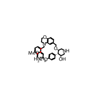 C=C(/C=c1/cccc/c1=C/N)Oc1ccc([C@H]2[C@H](O)CNC[C@@H]2OCc2ccc3c(c2)N(CCCOC)CCO3)cc1